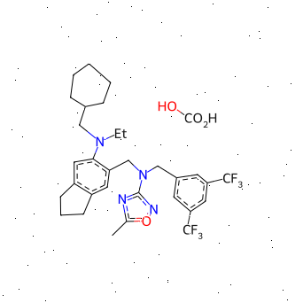 CCN(CC1CCCCC1)c1cc2c(cc1CN(Cc1cc(C(F)(F)F)cc(C(F)(F)F)c1)c1noc(C)n1)CCC2.O=C(O)O